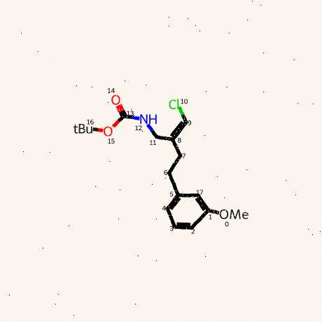 COc1cccc(CCC(=CCl)CNC(=O)OC(C)(C)C)c1